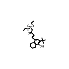 CCOP(=O)(CC(=O)C=Cc1cc(C(C)(C)C)c(O)c2c1CCCC2)OCC